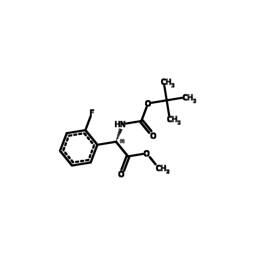 COC(=O)[C@@H](NC(=O)OC(C)(C)C)c1ccccc1F